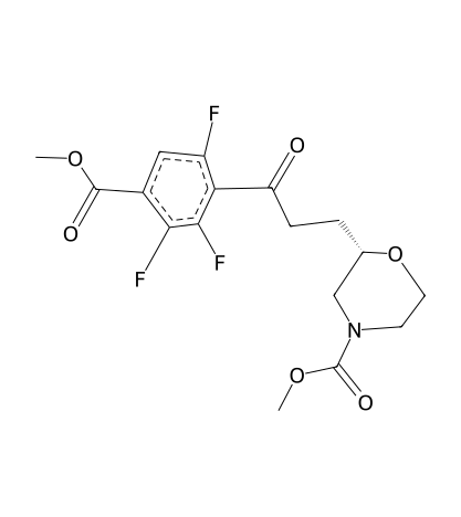 COC(=O)c1cc(F)c(C(=O)CC[C@H]2CN(C(=O)OC)CCO2)c(F)c1F